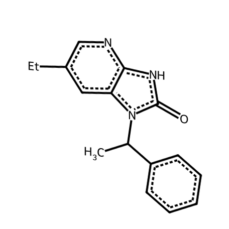 CCc1cnc2[nH]c(=O)n(C(C)c3ccccc3)c2c1